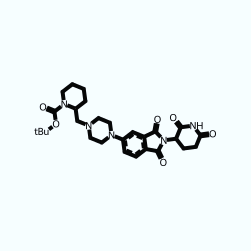 CC(C)(C)OC(=O)N1CCCCC1CN1CCN(c2ccc3c(c2)C(=O)N(C2CCC(=O)NC2=O)C3=O)CC1